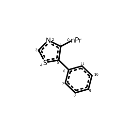 CCCc1n[c]sc1-c1ccccc1